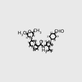 C[C@H]1CN(c2ccn3ncc(C(=O)Nc4cn([C@H]5CC[C@H](C=O)CC5)nc4C(F)F)c3n2)C[C@H](C)O1